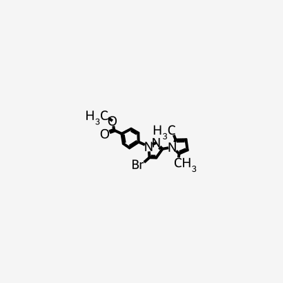 COC(=O)c1ccc(-n2nc(-n3c(C)ccc3C)cc2Br)cc1